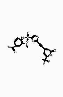 COc1cc(C(=O)O)ccc1NS(=O)(=O)c1csc(C#Cc2cc(C(F)(F)F)[nH]c(=O)c2)n1